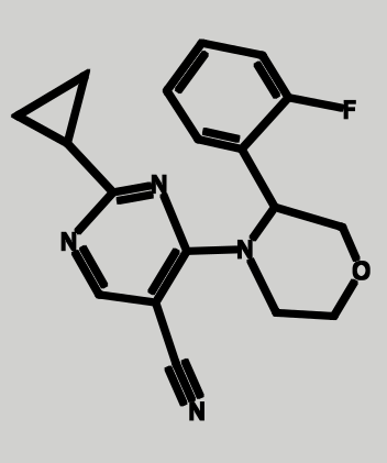 N#Cc1cnc(C2CC2)nc1N1CCOCC1c1ccccc1F